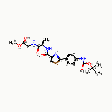 C=C(NC(=O)c1csc(-c2ccc(NC(=O)OC(C)(C)C)cc2)n1)C(=O)NCC(=O)OC